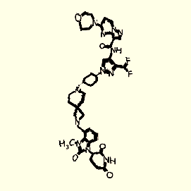 Cn1c(=O)n(C2CCC(=O)NC2=O)c2cccc(CN3CC4(CCN(C[C@H]5CC[C@H](n6cc(NC(=O)c7cnn8ccc(N9CCOCC9)nc78)c(C(F)F)n6)CC5)CC4)C3)c21